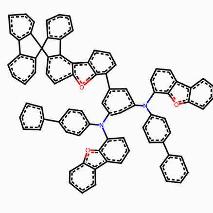 c1ccc(-c2ccc(N(c3cc(-c4cccc5c4oc4ccc6c(c45)-c4ccccc4C64c5ccccc5-c5ccccc54)cc(N(c4ccc(-c5ccccc5)cc4)c4cccc5c4oc4ccccc45)c3)c3cccc4c3oc3ccccc34)cc2)cc1